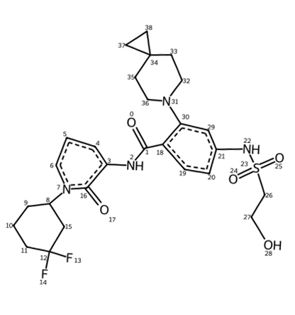 O=C(Nc1cccn(C2CCCC(F)(F)C2)c1=O)c1ccc(NS(=O)(=O)CCO)cc1N1CCC2(CC1)CC2